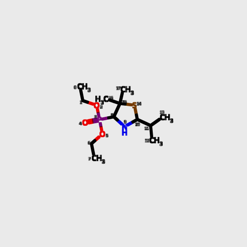 CCOP(=O)(OCC)C1NC(C(C)C)SC1(C)C